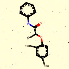 CCC(Oc1ccc(C(C)(C)C)cc1C(C)(C)C)C(=O)Nc1cc[c]cc1